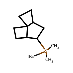 CC(C)(C)S(C)(C)C1CC2CCC23CCC13